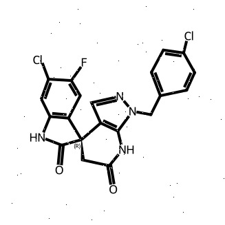 O=C1C[C@]2(C(=O)Nc3cc(Cl)c(F)cc32)c2cnn(Cc3ccc(Cl)cc3)c2N1